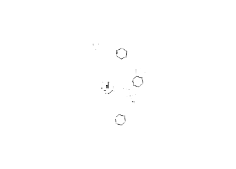 CCn1cc(CCC(c2ccc3c(c2)C(OCc2ccc(OC)cc2)CC3)C(C)(C)C(=O)OCc2ccccc2)nn1